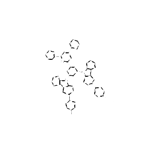 Cc1ccc(-c2ccc3c(c2)c2ccccc2n3-c2cc(-c3cc(-c4ccccc4)cc(-c4ccccc4)n3)cc(-n3c4ccccc4c4cc(-c5ccc(C)cc5)ccc43)c2)cc1